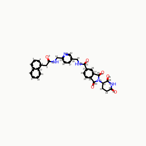 O=C(Cc1cccc2ccccc12)NCc1ccc(CNC(=O)c2ccc3c(c2)C(=O)N(C2CCC(=O)NC2=O)C3=O)cn1